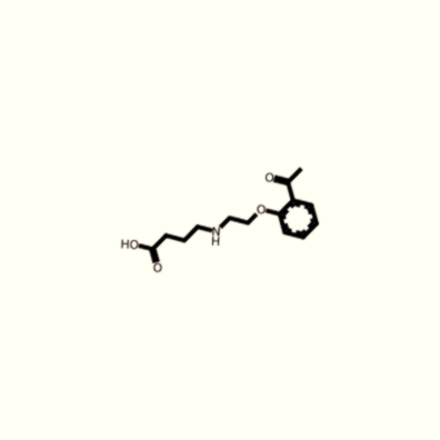 CC(=O)c1ccccc1OCCNCCCC(=O)O